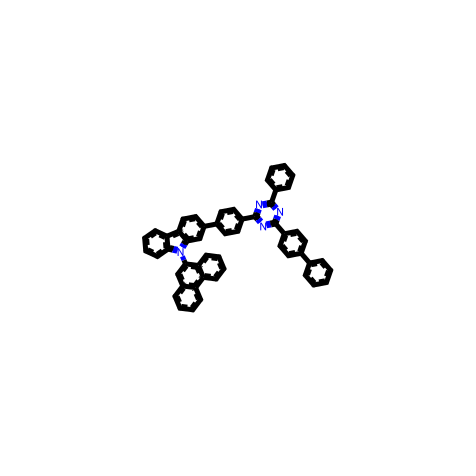 c1ccc(-c2ccc(-c3nc(-c4ccccc4)nc(-c4ccc(-c5ccc6c7ccccc7n(-c7cc8ccccc8c8ccccc78)c6c5)cc4)n3)cc2)cc1